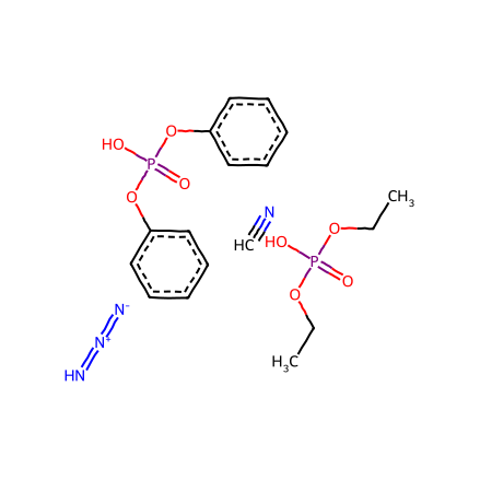 C#N.CCOP(=O)(O)OCC.O=P(O)(Oc1ccccc1)Oc1ccccc1.[N-]=[N+]=N